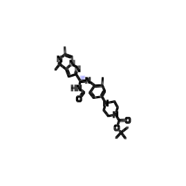 Cc1cn2nc(/C(=N/c3ccc(N4CCN(C(=O)OC(C)(C)C)CC4)cc3C)NC=O)cc2c(C)n1